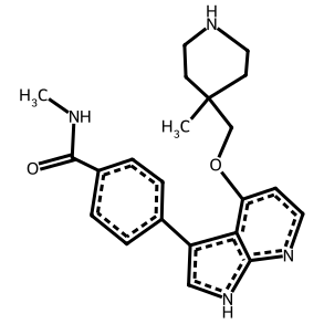 CNC(=O)c1ccc(-c2c[nH]c3nccc(OCC4(C)CCNCC4)c23)cc1